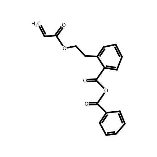 C=CC(=O)OCCc1ccccc1C(=O)OC(=O)c1ccccc1